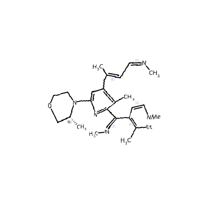 CC/C(C)=C(\C=C/NC)C(=N/C)/c1nc(N2CCOC[C@H]2C)cc(/C(C)=C/C=N\C)c1C